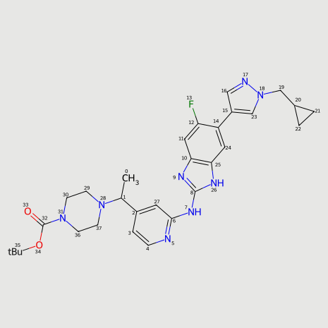 CC(c1ccnc(Nc2nc3cc(F)c(-c4cnn(CC5CC5)c4)cc3[nH]2)c1)N1CCN(C(=O)OC(C)(C)C)CC1